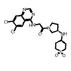 O=C(CNc1ncnc2cc(Cl)c(Cl)cc12)N1CC[C@@H](NC2CCS(=O)(=O)CC2)C1